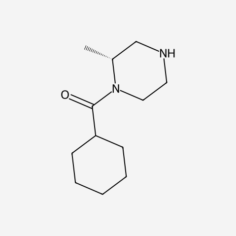 C[C@@H]1CNCCN1C(=O)C1CCCCC1